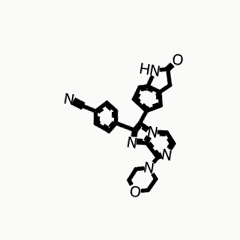 N#Cc1ccc(-c2nc3c(N4CCOCC4)nccn3c2-c2ccc3c(c2)CC(=O)N3)cc1